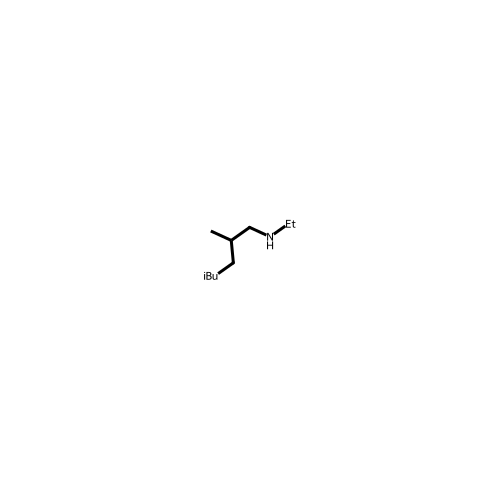 CCNCC(C)CC(C)CC